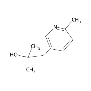 Cc1ccc(CC(C)(C)O)cn1